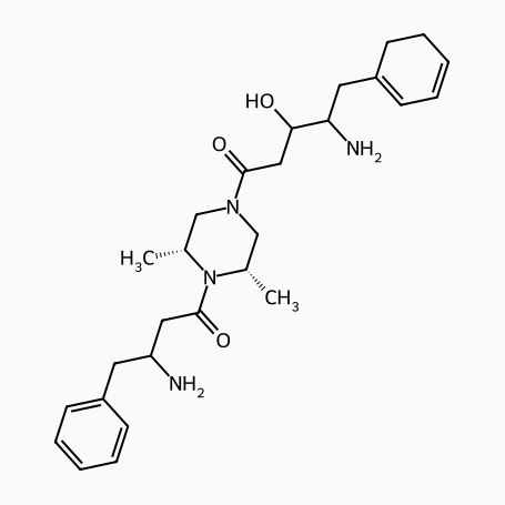 C[C@@H]1CN(C(=O)CC(O)C(N)CC2=CC=CCC2)C[C@H](C)N1C(=O)CC(N)Cc1ccccc1